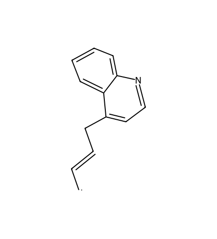 [CH2]C=CCc1ccnc2ccccc12